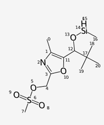 Cc1nc(COS(C)(=O)=O)oc1C(O[SiH](C)C)C(C)(C)C